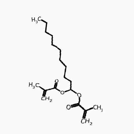 C=C(C)C(=O)OC(CCCCCCCCCC)OC(=O)C(=C)C